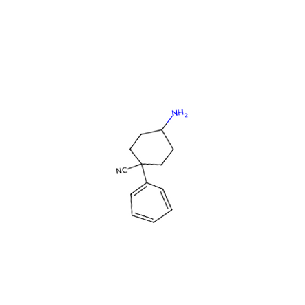 N#CC1(c2ccccc2)CCC(N)CC1